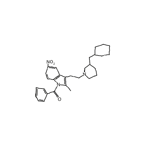 Cc1c(CCN2CCCC(CC3CCCCC3)C2)c2cc([N+](=O)[O-])ccc2n1C(=O)c1ccccc1